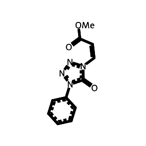 COC(=O)/C=C\n1nnn(-c2ccccc2)c1=O